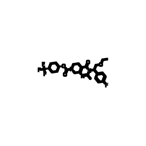 CCOCC(c1ccc(F)cc1)n1c(C)nc2c(c1=O)CCN(C(=O)O[C@H]1CC[C@H](C(F)(F)F)CC1)C2